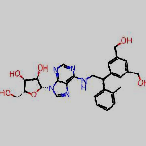 Cc1ccccc1C(CNc1ncnc2c1ncn2[C@@H]1O[C@H](CO)[C@@H](O)[C@H]1O)c1cc(CO)cc(CO)c1